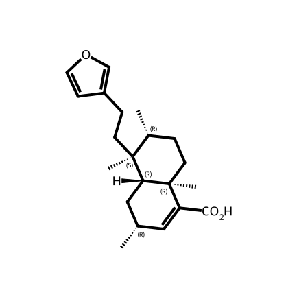 C[C@@H]1CC[C@@]2(C)C(C(=O)O)=C[C@H](C)C[C@@H]2[C@@]1(C)CCc1ccoc1